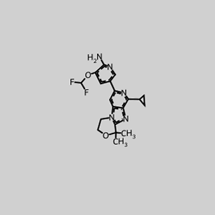 CC1(C)OCCn2c1nc1c(C3CC3)nc(-c3cnc(N)c(OC(F)F)c3)cc12